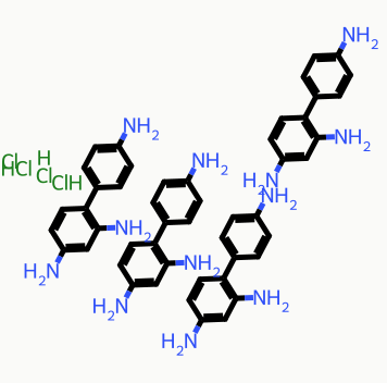 Cl.Cl.Cl.Cl.Nc1ccc(-c2ccc(N)cc2N)cc1.Nc1ccc(-c2ccc(N)cc2N)cc1.Nc1ccc(-c2ccc(N)cc2N)cc1.Nc1ccc(-c2ccc(N)cc2N)cc1